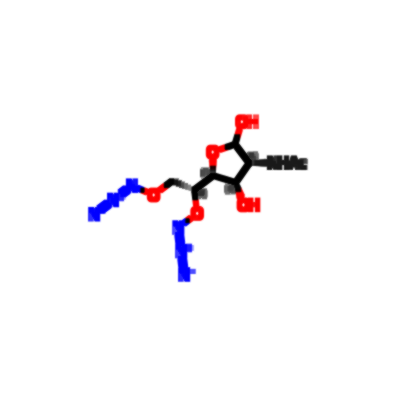 CC(=O)N[C@@H]1C(O)O[C@H]([C@@H](CON=[N+]=[N-])ON=[N+]=[N-])[C@@H]1O